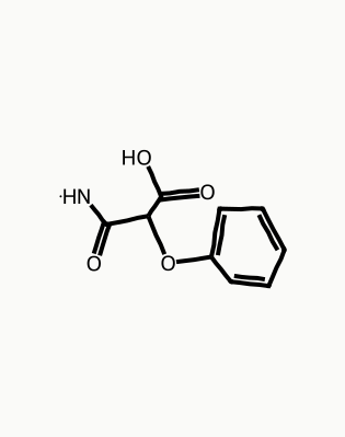 [NH]C(=O)C(Oc1ccccc1)C(=O)O